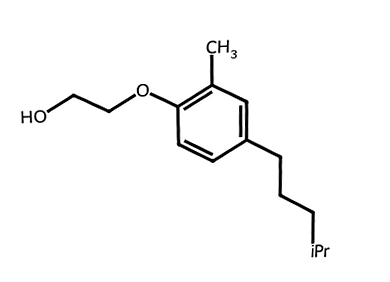 Cc1cc(CCCC(C)C)ccc1OCCO